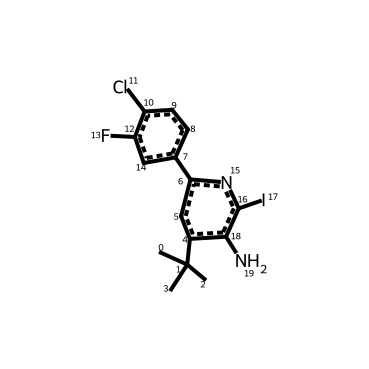 CC(C)(C)c1cc(-c2ccc(Cl)c(F)c2)nc(I)c1N